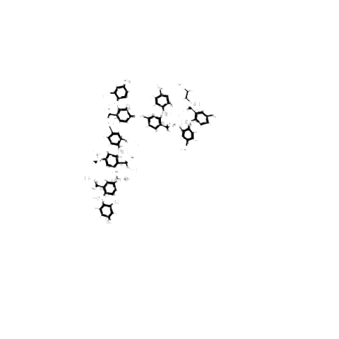 Cc1cc(Br)ccc1Nc1c(C(=O)O)ccc(F)c1F.Cc1cc(Br)ccc1Nc1cc(F)ccc1C(=O)O.Cc1cc(I)ccc1Nc1cc([N+](=O)[O-])ccc1C(=O)O.Cc1cc(I)ccc1Nc1ccc(Cl)cc1C(=O)NCCO.O=C(O)c1cc([N+](=O)[O-])ccc1Nc1ccc(I)cc1Br